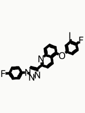 Fc1ccc(-n2cc(-c3ccc4c(Oc5ccc(F)c(I)c5)cccc4n3)nn2)cc1